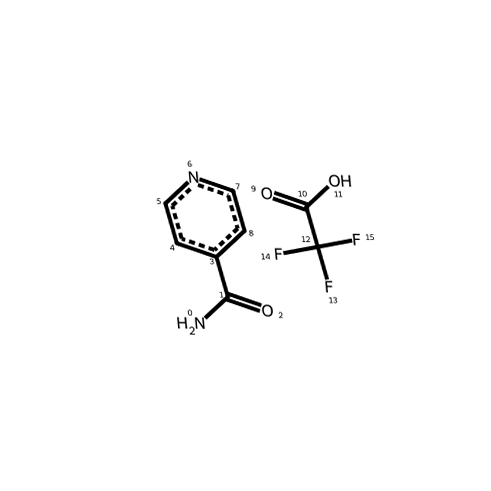 NC(=O)c1ccncc1.O=C(O)C(F)(F)F